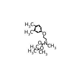 Cc1ccc(OCCN(C)C(=O)OC(C)(C)C)cc1C